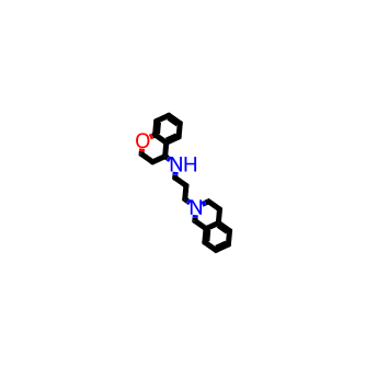 c1ccc2c(c1)CCN(CCCNC1CCOc3ccccc31)C2